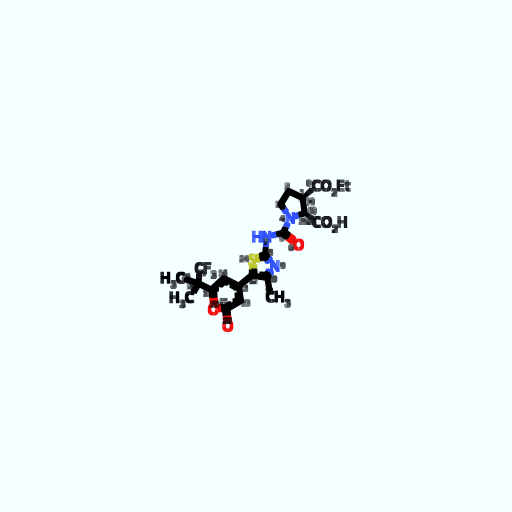 CCOC(=O)[C@@H]1CCN(C(=O)Nc2nc(C)c(-c3cc(C(C)(C)C(F)(F)F)oc(=O)c3)s2)[C@@H]1C(=O)O